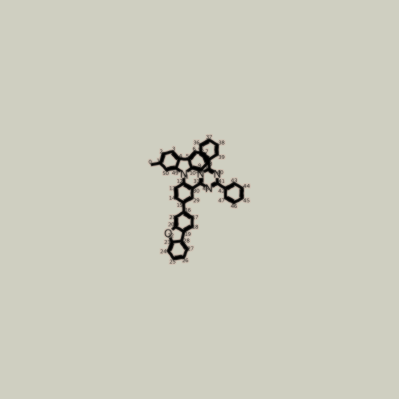 Cc1ccc2c3ccccc3n(-c3ccc(-c4ccc5c(c4)oc4ccccc45)cc3-c3nc(-c4ccccc4)nc(-c4ccccc4)n3)c2c1